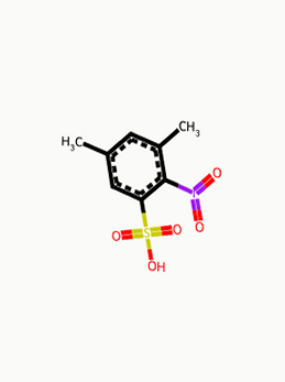 Cc1cc(C)c(I(=O)=O)c(S(=O)(=O)O)c1